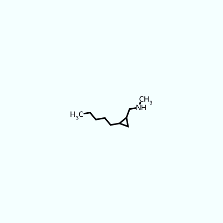 CCCCCC1CC1CNC